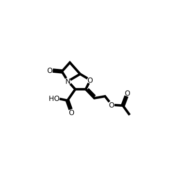 CC(=O)OC/C=C1\OC2CC(=O)N2C1C(=O)O